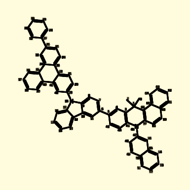 CC1(C)c2cc(-c3ccc4c(c3)c3ccccc3n4-c3ccc4c5ccc(-c6ccccc6)cc5c5ccccc5c4c3)ccc2N(c2ccc3ccccc3c2)c2ccc3ccccc3c21